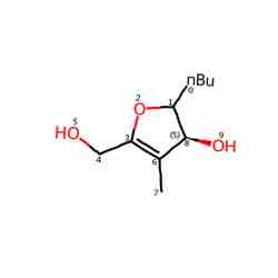 CCCCC1OC(CO)=C(C)[C@@H]1O